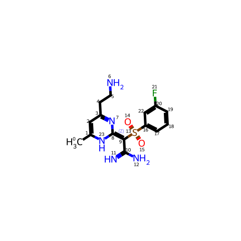 CC1=CC(CCN)=N/C(=C(/C(=N)N)S(=O)(=O)c2cccc(F)c2)N1